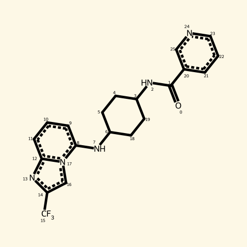 O=C(NC1CCC(Nc2cccc3nc(C(F)(F)F)cn23)CC1)c1cccnc1